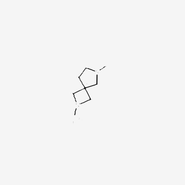 CCN1CCC2(C1)CN(C(C)(C)C)C2